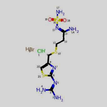 Br.Cl.NC(N)=Nc1nc(CSCCC(N)=NS(N)(=O)=O)cs1